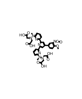 COc1ccc(-c2cc(-c3cccc(N(C)N(CC(=O)O)CC(=O)O)n3)nc(-c3cccc(N(C)N(CC(=O)O)CC(=O)O)n3)c2)cc1N=C=O